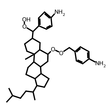 CC(C)CCC(C)C1CCC2C1CCC1C2CC(OOCc2ccc(N)cc2)C2CC(C(OO)c3ccc(N)cc3)CCC21C